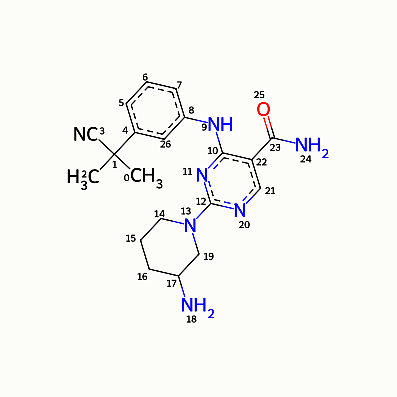 CC(C)(C#N)c1cccc(Nc2nc(N3CCCC(N)C3)ncc2C(N)=O)c1